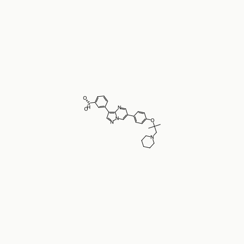 CC(C)(CN1CCCCC1)Oc1ccc(-c2cnc3c(-c4cccc([SH](=O)=O)c4)cnn3c2)cc1